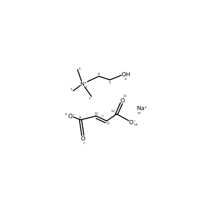 C[N+](C)(C)CCO.O=C([O-])/C=C/C(=O)[O-].[Na+]